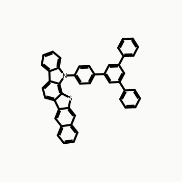 c1ccc(-c2cc(-c3ccccc3)cc(-c3ccc(-n4c5ccccc5c5ccc6c7cc8ccccc8cc7sc6c54)cc3)c2)cc1